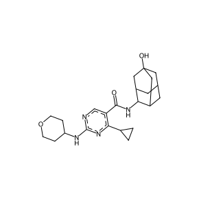 O=C(NC1C2CC3CC1CC(O)(C3)C2)c1cnc(NC2CCOCC2)nc1C1CC1